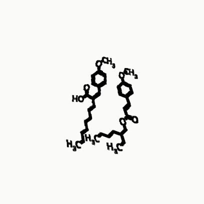 CCCCC(CC)COC(=O)C=Cc1ccc(OC)cc1.CCCCCCCCC(=Cc1ccc(OC)cc1)C(=O)O